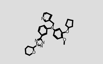 COc1ccc(N(Cc2cccnc2)c2cccc(-c3nnn(C4CCCCO4)n3)c2)cc1OC1CCCC1